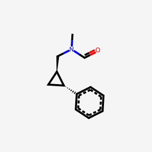 CN(C=O)C[C@@H]1C[C@H]1c1ccccc1